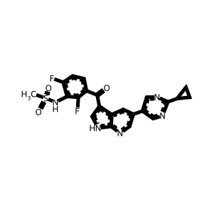 CS(=O)(=O)Nc1c(F)ccc(C(=O)c2c[nH]c3ncc(-c4cnc(C5CC5)nc4)cc23)c1F